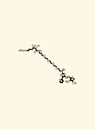 CCCCC/C=C/CC(CC(=O)NCCCOCCOCCOCCOCCN(CC)c1nc(-c2cccs2)c(/N=N/c2snc(C#N)c2C#N)s1)C(=O)O